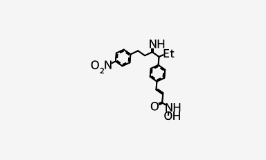 CCC(C(=N)CCc1ccc([N+](=O)[O-])cc1)c1ccc(/C=C/C(=O)NO)cc1